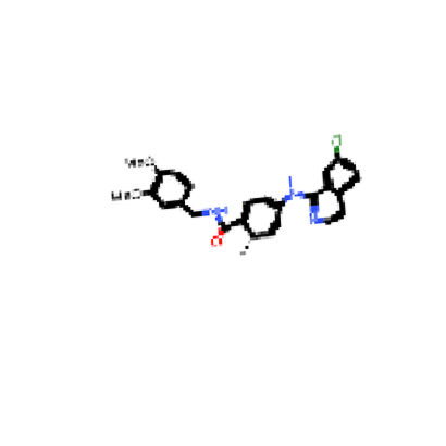 COc1ccc(CNC(=O)C2=CC=C(Nc3nccc4ccc(Cl)cc34)C=C[C@@H]2C)cc1OC